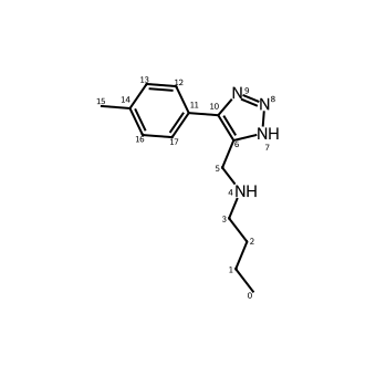 CCCCNCc1[nH]nnc1-c1ccc(C)cc1